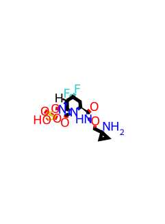 NC1(CONC(=O)[C@@H]2CC(F)(F)[C@@H]3CN2C(=O)N3OS(=O)(=O)O)CC1